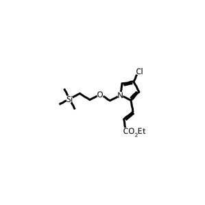 CCOC(=O)/C=C/c1cc(Cl)cn1COCC[Si](C)(C)C